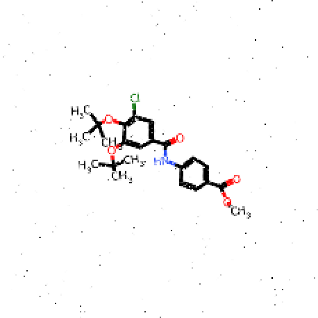 COC(=O)c1ccc(NC(=O)c2cc(Cl)c(OC(C)(C)C)c(OC(C)(C)C)c2)cc1